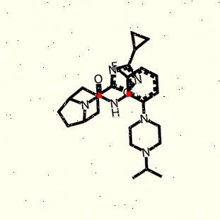 CC(C)N1CCN(c2cccc(F)c2NC(=O)N2C3CCC2CC(c2nc(C4CC4)no2)C3)CC1